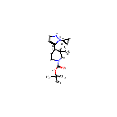 CC(C)(C)OC(=O)N1CCC(c2ccnn2C2CC2)C(C)(C)C1